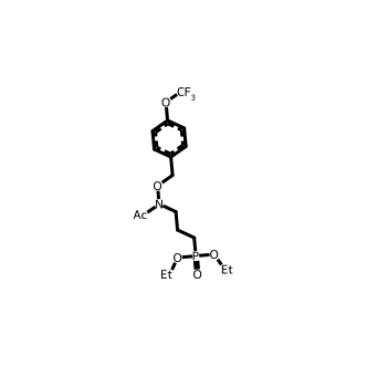 CCOP(=O)(CCCN(OCc1ccc(OC(F)(F)F)cc1)C(C)=O)OCC